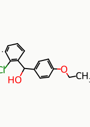 CCOc1ccc(C(O)c2ccc[c]c2Cl)cc1